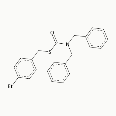 CCc1ccc(CSC(=O)N(Cc2ccccc2)Cc2ccccc2)cc1